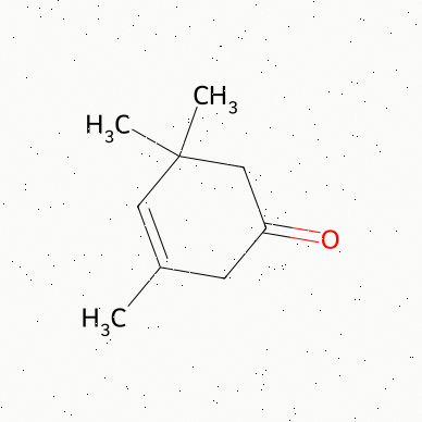 CC1=CC(C)(C)CC(=O)C1